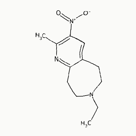 CCN1CCc2cc([N+](=O)[O-])c(C)nc2CC1